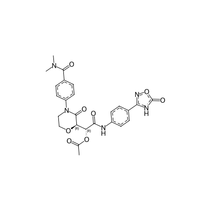 CC(=O)O[C@@H](C(=O)Nc1ccc(-c2noc(=O)[nH]2)cc1)[C@H]1OCCN(c2ccc(C(=O)N(C)C)cc2)C1=O